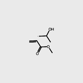 C=CC(=O)OC.[CH2]C(C)O